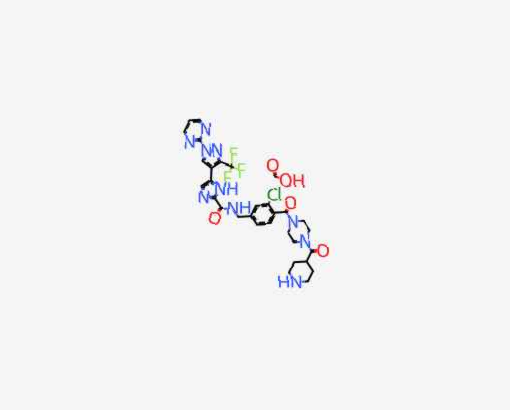 O=C(NCc1ccc(C(=O)N2CCN(C(=O)C3CCNCC3)CC2)c(Cl)c1)c1ncc(-c2cn(-c3ncccn3)nc2C(F)(F)F)[nH]1.O=CO